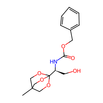 CC12COC([C@H](CO)NC(=O)OCc3ccccc3)(OC1)OC2